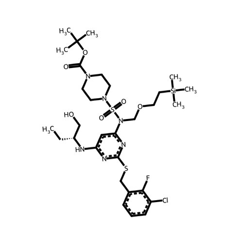 CC[C@H](CO)Nc1cc(N(COCC[Si](C)(C)C)S(=O)(=O)N2CCN(C(=O)OC(C)(C)C)CC2)nc(SCc2cccc(Cl)c2F)n1